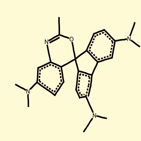 CC1=Nc2cc(N(C)C)ccc2C2(O1)c1ccc(N(C)C)cc1-c1cc(N(C)C)ccc12